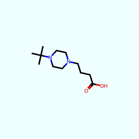 CC(C)(C)N1CCN(CCCC(=O)O)CC1